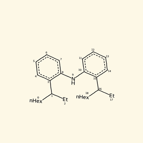 CCCCCCC(CC)c1ccccc1Nc1ccccc1C(CC)CCCCCC